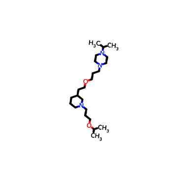 CC(C)OCCCN1CCCC(CCOCCCN2CCN(C(C)C)CC2)C1